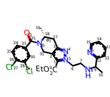 CCOC(=O)c1c2c(nn1CCNC(C)c1ccccn1)C[C@@H](C)N(C(=O)c1ccc(Cl)c(Cl)c1)C2